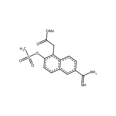 COC(=O)Cc1c(OS(C)(=O)=O)ccc2cc(C(=N)N)ccc12